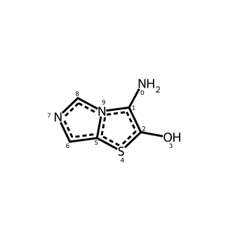 Nc1c(O)sc2cncn12